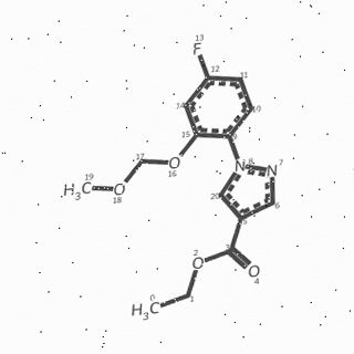 CCOC(=O)c1cnn(-c2ccc(F)cc2OCOC)c1